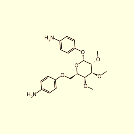 CO[C@H]1[C@@H](OC)[C@@H](COc2ccc(N)cc2)O[C@H](Oc2ccc(N)cc2)[C@@H]1OC